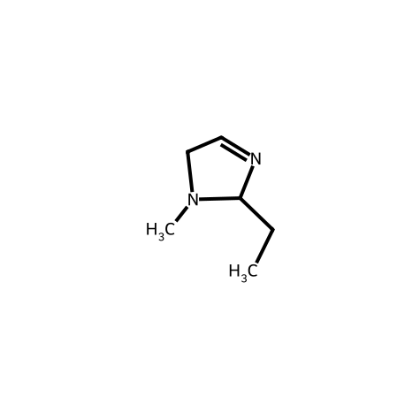 CCC1N=CCN1C